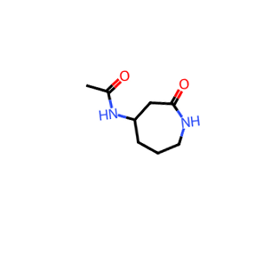 CC(=O)NC1CCCNC(=O)C1